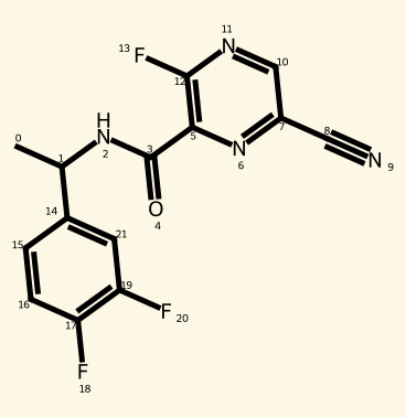 CC(NC(=O)c1nc(C#N)cnc1F)c1ccc(F)c(F)c1